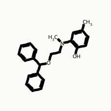 Cc1ccc(O)c(N(C)CCOC(c2ccccc2)c2ccccc2)c1